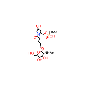 COP(=O)(O)OC[C@@H]1C[C@@H](O)CN1C(=O)CCCCOC1OC(CO)C(O)C(O)C1NC(C)=O